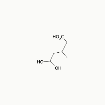 CC(CC(=O)O)CC(O)O